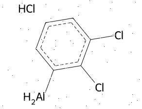 Cl.[AlH2][c]1cccc(Cl)c1Cl